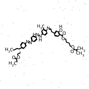 C=CC(=O)OCC[C@H](CCC)c1ccc(/N=N/c2ccc(NNc3ccc(/N=C\Cc4ccc(C(=O)OCCCCOC(=O)C(=C)C)c(O)c4)c(C)c3)cc2)cc1